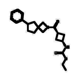 CCOC(=O)N[C@H]1C[C@@H](C(=O)N2CC3(CCC(c4ccccc4)C3)C2)C1